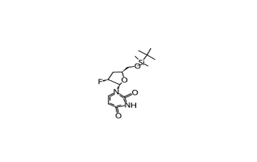 CC(C)(C)[Si](C)(C)OC[C@@H]1C[C@H](F)[C@H](n2ccc(=O)[nH]c2=O)O1